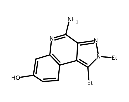 CCc1c2c(nn1CC)c(N)nc1cc(O)ccc12